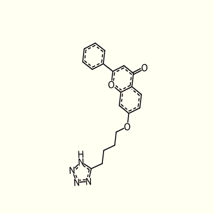 O=c1cc(-c2ccccc2)oc2cc(OCCCCc3nnn[nH]3)ccc12